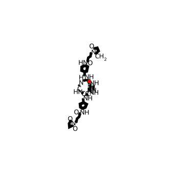 C=C1C=CC(=O)N1CCCC(=O)Nc1ccc(CNC23CNCCNCC(NCc4ccc(NC(=O)CCCN5C(=O)C=CC5=O)cc4)(CNCCNC2)CNCCNC3)cc1